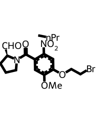 CCCC.COc1cc(C(=O)N2CCC[C@H]2C=O)c([N+](=O)[O-])cc1OCCBr